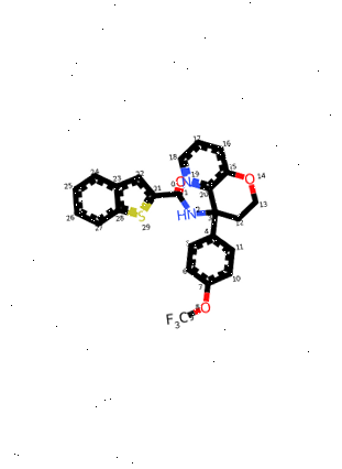 O=C(NC1(c2ccc(OC(F)(F)F)cc2)CCOc2cccnc21)c1cc2ccccc2s1